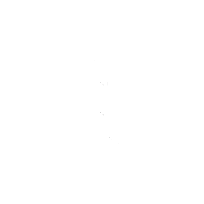 NCCNCCNC1CO1